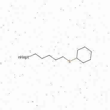 CCCCCCCCCCCCSC1CCCCC1